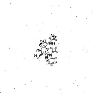 CCOc1c(C(=O)Nc2cnoc2)nc(-c2nc3ccccc3n2C2CCC2)n(C)c1=O